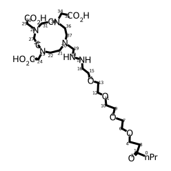 CCCC(=O)CCOCCOCCOCCOCCNNCN1CCN(CC(=O)O)CCN(CC(=O)O)CCN(CC(=O)O)CC1